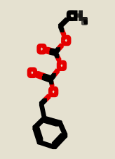 CCOC(=O)OC(=O)OCc1ccccc1